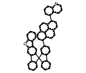 c1ccc2c(c1)-c1ccc(-c3ccc4ccc5c(-c6cccc7ncccc67)ccc6ccc3c4c65)cc1C21c2ccccc2-c2cc3oc4ccccc4c3cc21